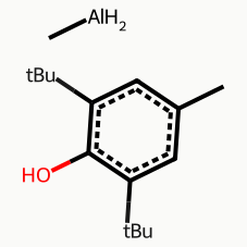 Cc1cc(C(C)(C)C)c(O)c(C(C)(C)C)c1.[CH3][AlH2]